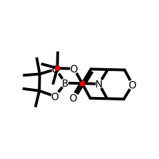 CC(C)(C)OC(=O)N1C2C=C(B3OC(C)(C)C(C)(C)O3)CC1COC2